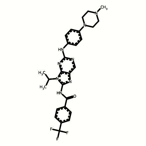 CC(C)n1c(NC(=O)c2ccc(C(F)(F)F)cc2)nc2cnc(Nc3ccc(N4CCN(C)CC4)cc3)nc21